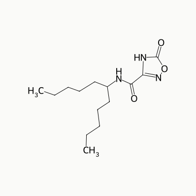 CCCCCC(CCCCC)NC(=O)c1noc(=O)[nH]1